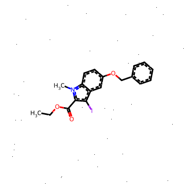 CCOC(=O)c1c(I)c2cc(OCc3ccccc3)ccc2n1C